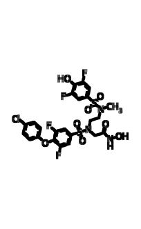 CN(CCN(CC(=O)NO)S(=O)(=O)c1cc(F)c(Oc2ccc(Cl)cc2)c(F)c1)S(=O)(=O)c1cc(F)c(O)c(F)c1